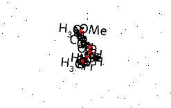 COC[C@H]1CN(c2ccc3c4c(c(=O)oc3c2Cl)CN(C(=O)c2ccc(C(=O)NS(=O)(=O)N(C)C(C)C)c(OC3C[C@@H]5C[C@@H]5C3)c2F)CC4)CCN1C